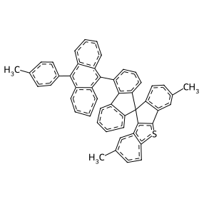 Cc1ccc(-c2c3ccccc3c(-c3cccc4c3-c3ccccc3C43c4ccc(C)cc4-c4sc5ccc(C)cc5c43)c3ccccc23)cc1